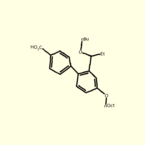 CCCCCCCCOc1ccc(-c2ccc(C(=O)O)cc2)c(C(CC)OCCCC)c1